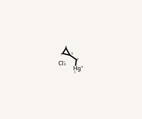 [Cl-].[Hg+][CH2]C1CC1